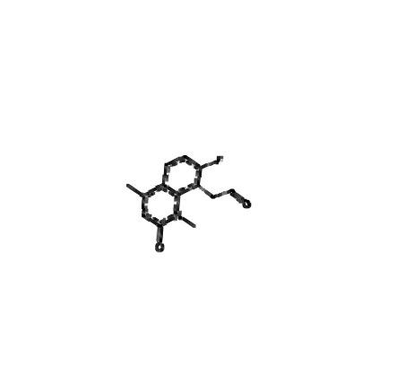 Cc1cc(=O)n(C)c2c(CC=O)c(F)ccc12